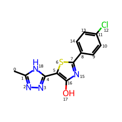 Cc1nnc(-c2sc(-c3ccc(Cl)cc3)nc2O)[nH]1